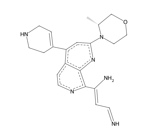 C[C@@H]1COCCN1c1cc(C2=CCNCC2)c2ccnc(/C(N)=C/C=N)c2n1